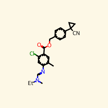 CCN(C)/C=N/c1cc(Cl)c(C(=O)OCc2ccc(C3(C#N)CC3)cc2)cc1C